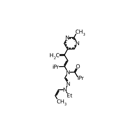 C=C(/C=C(\C(C)C)N(/C=N/N(/C=C\C)CC)C(=O)C(C)C)c1cnc(C)nc1